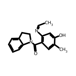 C/C=N\c1cc(O)c(C)cc1C(=O)N1CCc2ccccc21